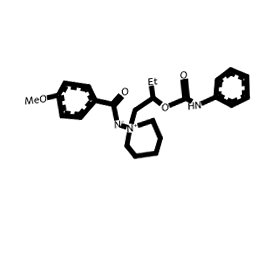 CCC(C[N+]1([N-]C(=O)c2ccc(OC)cc2)CCCCC1)OC(=O)Nc1ccccc1